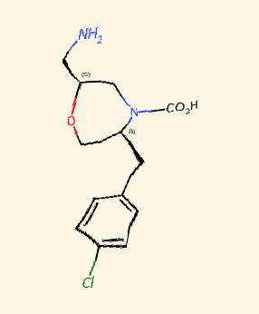 NC[C@H]1CN(C(=O)O)[C@@H](Cc2ccc(Cl)cc2)CO1